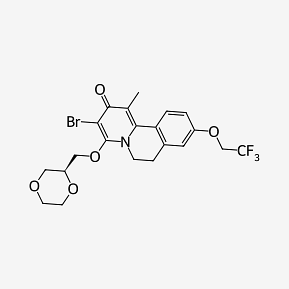 Cc1c2n(c(OC[C@@H]3COCCO3)c(Br)c1=O)CCc1cc(OCC(F)(F)F)ccc1-2